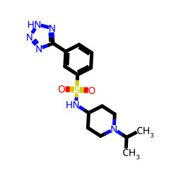 CC(C)N1CCC(NS(=O)(=O)c2cccc(-c3nn[nH]n3)c2)CC1